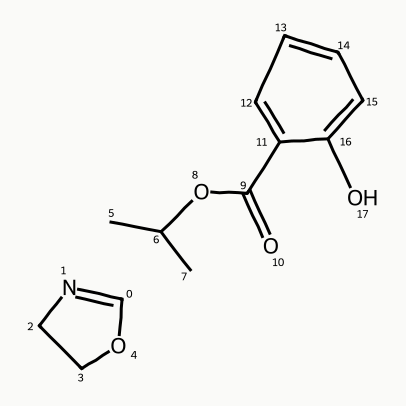 C1=NCCO1.CC(C)OC(=O)c1ccccc1O